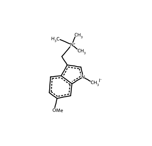 COc1ccc2c(C[N+](C)(C)C)cn(C)c2c1.[I-]